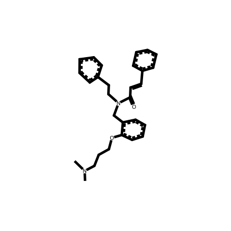 CN(C)CCCOc1ccccc1CN(CCc1ccccc1)C(=O)C=Cc1ccccc1